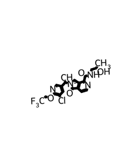 CC(O)CNC(=O)c1nccc2c1CN(C(C)c1cnc(OCC(F)(F)F)c(Cl)c1)C2=O